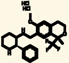 COc1cc2c(cc1CNC1CCCN[C@H]1c1ccccc1)C(C)(C(F)(F)F)OCC2.Cl.Cl